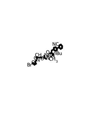 CCCCc1nc(C)n(-c2ncc(OCc3nc(-c4ccc(Br)o4)oc3C)cn2)c(=O)c1Cc1ccc(-c2ccccc2C#N)cc1